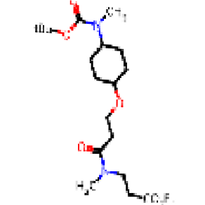 CCOC(=O)CCN(C)C(=O)CCOC1CCC(N(C)C(=O)OC(C)(C)C)CC1